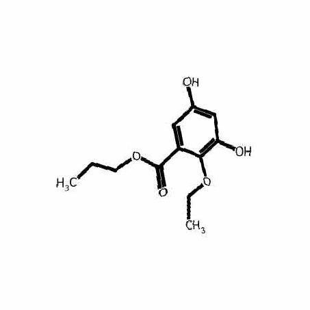 CCCOC(=O)c1cc(O)cc(O)c1OCC